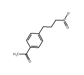 CC(=O)c1ccc(CCC[N+](=O)[O-])cc1